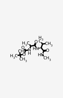 CNC(=O)[C@@H](NC(=O)C(C)NC(=O)OC(C)(C)C)C(C)C